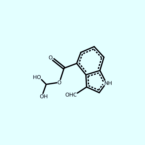 O=Cc1c[nH]c2cccc(C(=O)OC(O)O)c12